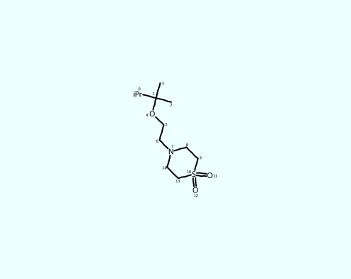 CC(C)C(C)(C)OCCN1CCS(=O)(=O)CC1